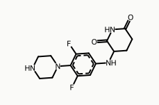 O=C1CCC(Nc2cc(F)c(N3CCNCC3)c(F)c2)C(=O)N1